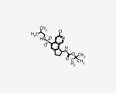 CC(C)CNS(=O)(=O)c1cc2c(c3cnc(Cl)cc13)C(NC(=O)OC(C)(C)C)CC2